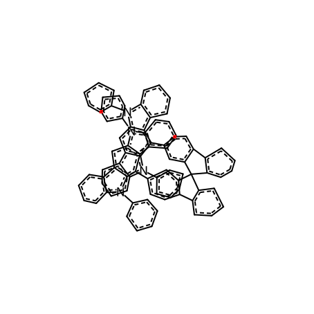 c1ccc(-n2c3ccccc3c3c(-c4ccc5c(c4)C4(c6ccccc6-5)c5ccccc5-c5ccc(-c6c7c8ccccc8n(-c8ccccc8)c7cc7c8ccccc8n(-c8ccccc8)c67)cc54)c4c(cc32)c2ccccc2n4-c2ccccc2)cc1